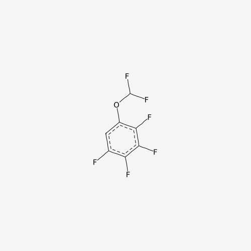 Fc1cc(OC(F)F)c(F)c(F)c1F